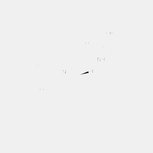 CS(=O)(=O)N[C@H]1CCN2C(=O)OC/C=C/Cc3ccccc3C[C@@H]12